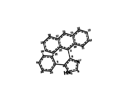 c1ccc(-c2[nH]cnc2-c2c3ccccc3cc3ccccc23)cc1